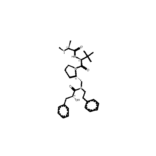 CN[C@@H](C)C(=O)N[C@H](C(=O)N1CCC[C@H]1CN(CCc1ccccc1)C(=O)[C@H](O)Cc1ccccc1)C(C)(C)C